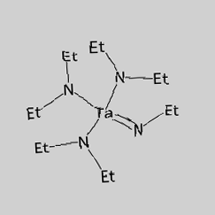 CC[N]=[Ta]([N](CC)CC)([N](CC)CC)[N](CC)CC